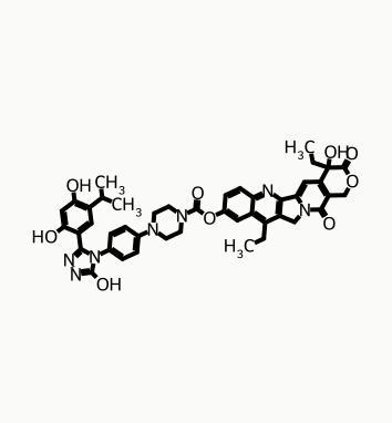 CCc1c2c(nc3ccc(OC(=O)N4CCN(c5ccc(-n6c(O)nnc6-c6cc(C(C)C)c(O)cc6O)cc5)CC4)cc13)-c1cc3c(c(=O)n1C2)COC(=O)C3(O)CC